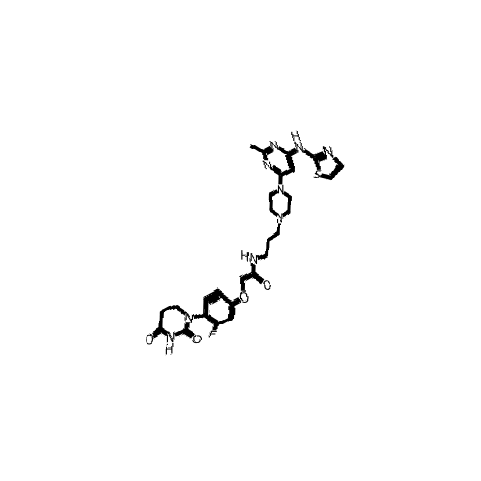 Cc1nc(Nc2nccs2)cc(N2CCN(CCCNC(=O)COc3ccc(N4CCC(=O)NC4=O)c(F)c3)CC2)n1